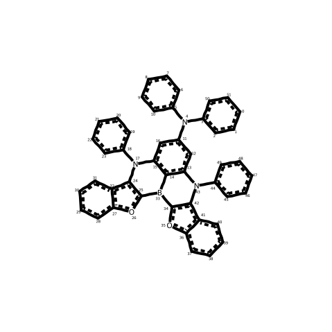 c1ccc(N(c2ccccc2)c2cc3c4c(c2)N(c2ccccc2)c2c(oc5ccccc25)B4c2oc4ccccc4c2N3c2ccccc2)cc1